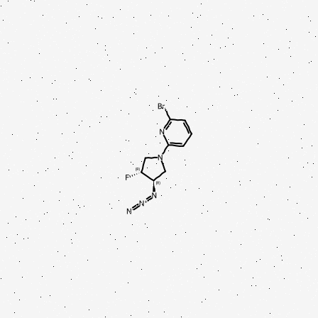 [N-]=[N+]=N[C@@H]1CN(c2cccc(Br)n2)C[C@H]1F